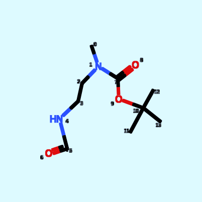 CN(CCN[C]=O)C(=O)OC(C)(C)C